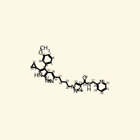 COc1cccc(-c2c(C3CC3)[nH]c3nnc(CCCCn4cc(C(=O)NCc5ccccn5)nn4)cc23)c1